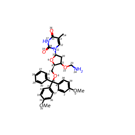 COc1ccc(C(OC[C@H]2O[C@@H](n3cc(C)c(=O)[nH]c3=O)CC2OCN)(c2ccccc2)c2ccc(OC)cc2)cc1